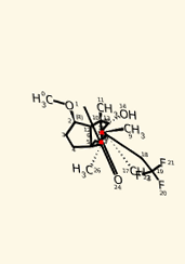 CO[C@@H]1CCC23CC[C@@H](C)[C@](C)(C12)[C@H](O)C[C@@](C)(CC(F)(F)F)C(=O)[C@@H]3C